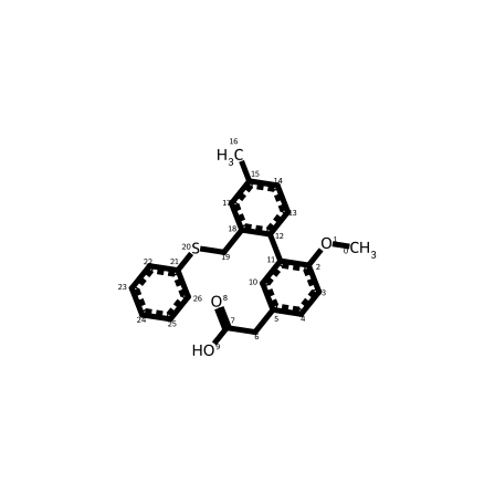 COc1ccc(CC(=O)O)cc1-c1ccc(C)cc1CSc1ccccc1